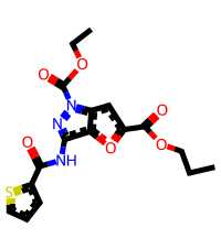 CCCOC(=O)c1cc2c(o1)c(NC(=O)c1cccs1)nn2C(=O)OCC